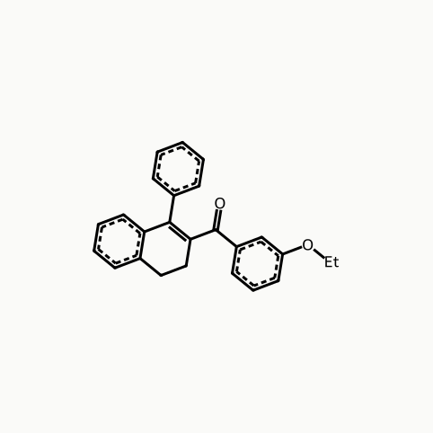 CCOc1cccc(C(=O)C2=C(c3ccccc3)c3ccccc3CC2)c1